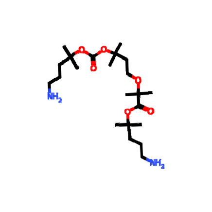 CC(C)(CCCN)OC(=O)OC(C)(C)CCOC(C)(C)C(=O)OC(C)(C)CCCN